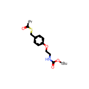 CC(C)C(=O)SCc1ccc(OCCNC(=O)OC(C)(C)C)cc1